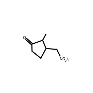 CC1C(=O)CCC1CC(=O)O